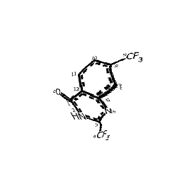 O=c1[nH]c(C(F)(F)F)nc2cc(C(F)(F)F)ccc12